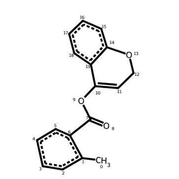 Cc1ccccc1C(=O)OC1=CCOc2ccccc21